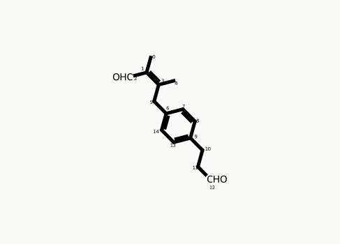 C/C(C=O)=C(\C)Cc1ccc(CCC=O)cc1